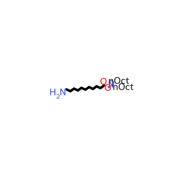 CCCCCCCCN(CCCCCCCC)OC(=O)CCCCCCCCCCN